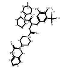 Nc1c(Cl)cc(CC(CC(=O)N2CCC(N3Cc4ccccc4NC3=O)CC2)C(=O)[N+]2(C3CCNCC3)CCCCC2)cc1C(F)(F)F